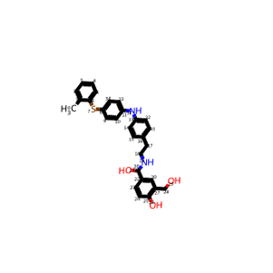 Cc1ccccc1Sc1ccc(Nc2ccc(CCNC(O)c3ccc(O)c(CO)c3)cc2)cc1